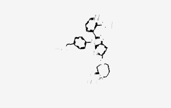 CN1CCCN(c2ccc3nc(-c4cccnc4N)n(-c4ccc(CO)cc4)c3n2)CC1=O